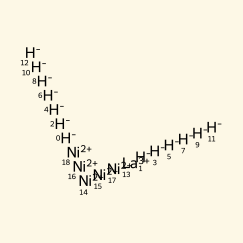 [H-].[H-].[H-].[H-].[H-].[H-].[H-].[H-].[H-].[H-].[H-].[H-].[H-].[La+3].[Ni+2].[Ni+2].[Ni+2].[Ni+2].[Ni+2]